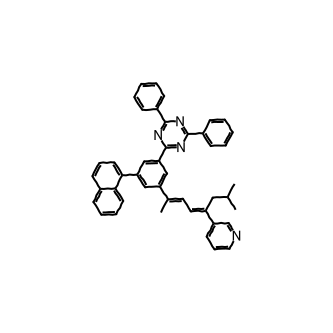 C/C(=C\C=C(/CC(C)C)c1cccnc1)c1cc(-c2nc(-c3ccccc3)nc(-c3ccccc3)n2)cc(-c2cccc3ccccc23)c1